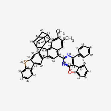 Cc1cc2c(-c3nc(-c4ccccc4)c4c(n3)oc3ccccc34)cc3c(c2cc1C)C1(c2cc4sc5ccccc5c4cc2-3)C2CC3CC(C2)CC1C3